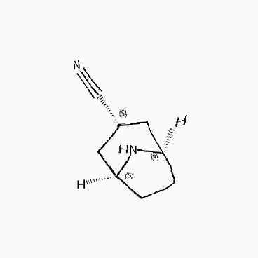 N#C[C@@H]1C[C@H]2CC[C@@H](C1)N2